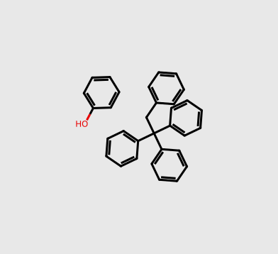 Oc1ccccc1.c1ccc(CC(c2ccccc2)(c2ccccc2)c2ccccc2)cc1